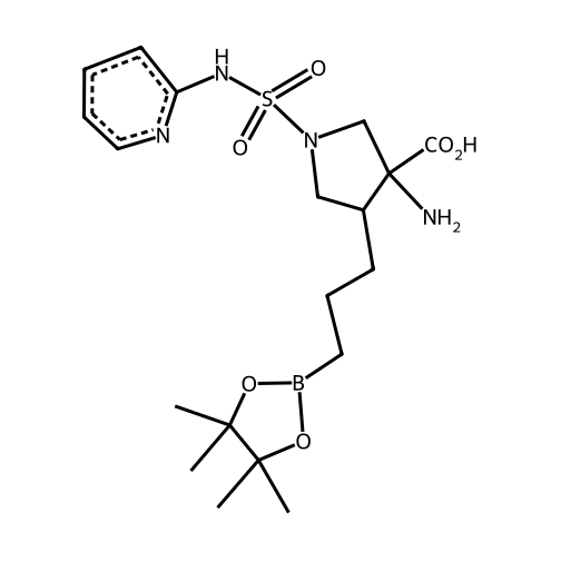 CC1(C)OB(CCCC2CN(S(=O)(=O)Nc3ccccn3)CC2(N)C(=O)O)OC1(C)C